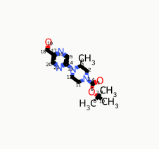 C[C@@H]1CN(C(=O)OC(C)(C)C)CCN1c1cnc(C=O)cn1